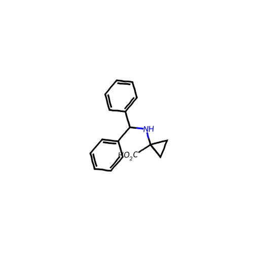 O=C(O)C1(NC(c2ccccc2)c2ccccc2)CC1